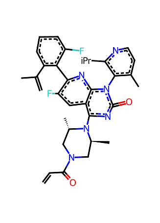 C=CC(=O)N1C[C@H](C)N(c2nc(=O)n(-c3c(C)ccnc3C(C)C)c3nc(-c4c(F)cccc4C(=C)C)c(F)cc23)[C@@H](C)C1